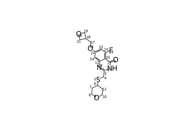 O=c1[nH]c(CSC2CCOCC2)nc2cc(OCC3COC3)cc(F)c12